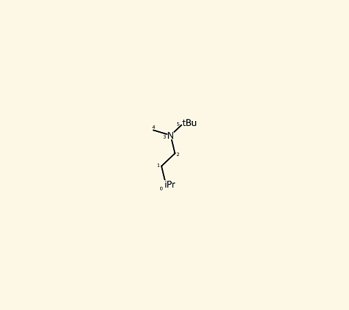 CC(C)CCN(C)C(C)(C)C